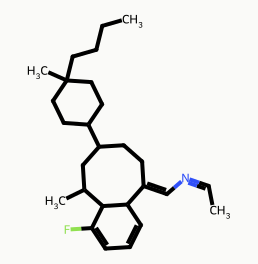 C/C=N\C=C1/CCC(C2CCC(C)(CCCC)CC2)CC(C)C2C(F)=CC=CC12